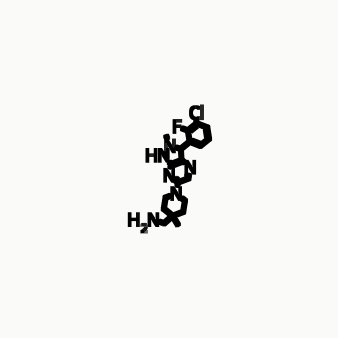 CN1Nc2nc(N3CCC(C)(CN)CC3)cnc2C1c1cccc(Cl)c1F